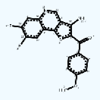 COc1ccc(C(=O)c2sc3c(cnc4cc(F)c(F)cc43)c2N)cc1